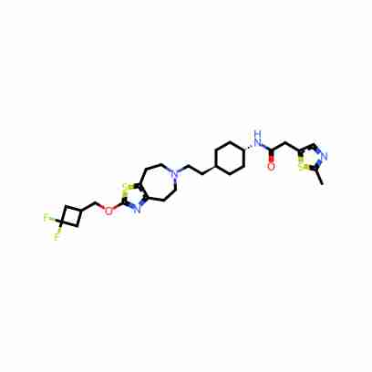 Cc1ncc(CC(=O)N[C@H]2CC[C@H](CCN3CCc4nc(OCC5CC(F)(F)C5)sc4CC3)CC2)s1